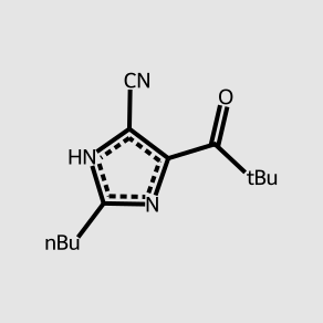 CCCCc1nc(C(=O)C(C)(C)C)c(C#N)[nH]1